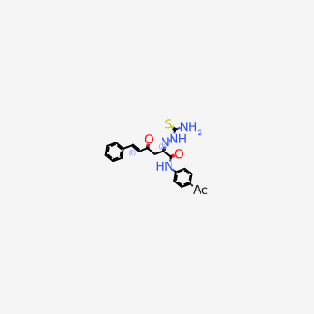 CC(=O)c1ccc(NC(=O)/C(CC(=O)/C=C/c2ccccc2)=N\NC(N)=S)cc1